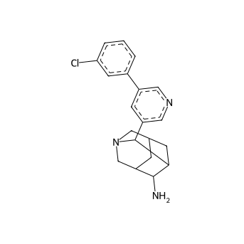 NC1C2CC3CC1C(c1cncc(-c4cccc(Cl)c4)c1)N(C3)C2